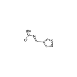 CC(C)(C)[S+]([O-])N=Cc1ccsc1